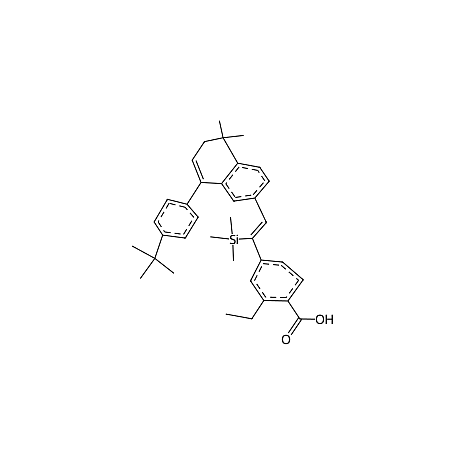 CCc1cc(C(=Cc2ccc3c(c2)C(c2ccc(C(C)(C)C)cc2)=CCC3(C)C)[Si](C)(C)C)ccc1C(=O)O